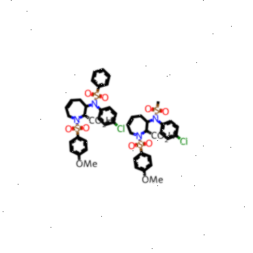 COc1ccc(S(=O)(=O)N2CC=CCC(N(c3ccc(Cl)cc3)S(=O)(=O)c3ccccc3)C2C(=O)O)cc1.COc1ccc(S(=O)(=O)N2CC=CCC(N(c3ccc(Cl)cc3)S(C)(=O)=O)C2C(=O)O)cc1